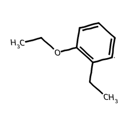 CCOc1ccc[c]c1CC